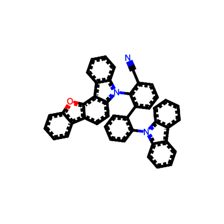 N#Cc1cccc(-c2ccccc2-n2c3ccccc3c3ccccc32)c1-n1c2ccccc2c2c3oc4ccccc4c3ccc21